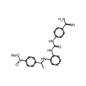 CO[N+](=O)c1ccc(C(C)Nc2ccccc2NC(=O)Nc2ccc(C(=N)N)cc2)cc1